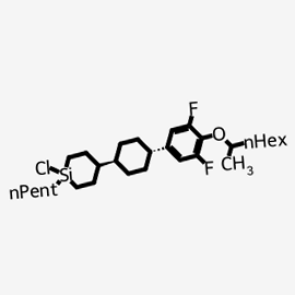 CCCCCCC(C)Oc1c(F)cc([C@H]2CC[C@H](C3CC[Si](Cl)(CCCCC)CC3)CC2)cc1F